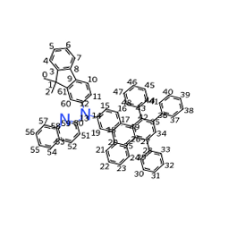 CC1(C)c2ccccc2-c2ccc(N(c3ccc4c(c3)c3ccccc3c3c(-c5ccccc5)cc(-c5ccccc5)c(-c5ccccc5)c43)c3ccc4ccccc4n3)cc21